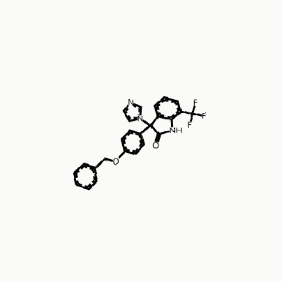 O=C1Nc2c(C(F)(F)F)cccc2C1(c1ccc(OCc2ccccc2)cc1)n1ccnc1